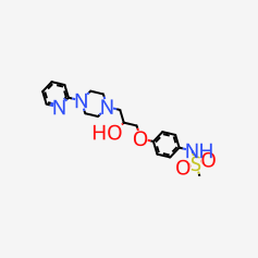 CS(=O)(=O)Nc1ccc(OCC(O)CN2CCN(c3ccccn3)CC2)cc1